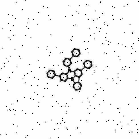 c1ccc(-c2cccc(N3c4cc(-c5ccccc5)ccc4B4c5ccccc5-c5cc(-c6ccccc6)cc3c54)c2)cc1